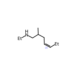 CC/C=C\CC(C)CNCC